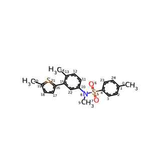 Cc1ccc(S(=O)(=O)N(C)c2ccc(C)c(-c3ccc(C)s3)c2)cc1